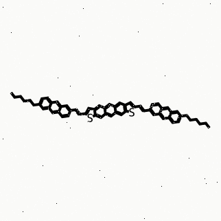 CCCCCCc1ccc2cc3cc(/C=C/c4cc5cc6cc7cc8cc(/C=C/c9ccc%10cc%11cc(CCCCCC)ccc%11cc%10c9)sc8cc7cc6cc5s4)ccc3cc2c1